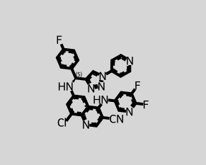 N#Cc1cnc2c(Cl)cc(N[C@@H](c3ccc(F)cc3)c3cn(-c4ccncc4)nn3)cc2c1Nc1cnc(F)c(F)c1